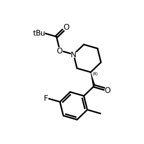 Cc1ccc(F)cc1C(=O)[C@@H]1CCCN(OC(=O)C(C)(C)C)C1